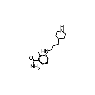 Cc1c(NCCCC2CCNCC2)cccc1C(N)=O